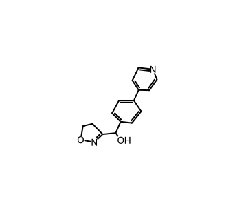 OC(C1=NOCC1)c1ccc(-c2ccncc2)cc1